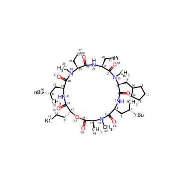 CCCC[C@@H](C)C[C@@H]1NC(=O)[C@H](CC2CCCC2)N(C)C(=O)[C@H](CC(C)C)NC(=O)[C@H](CC(C)C)N(C)C(=O)[C@H](C[C@H](C)CCCC)NC(=O)[C@@H](CCC#N)OC(=O)[C@H](C)N(C)C1=O